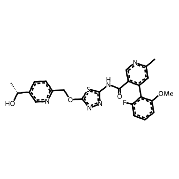 COc1cccc(F)c1-c1cc(C)ncc1C(=O)Nc1nnc(OCc2ccc([C@@H](C)O)cn2)s1